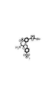 CC(C)(C)c1nnc(-c2ccc3c(c2)N(Cc2ccc(S(=O)(=O)C(F)(F)F)cc2)C(=O)[C@@H](N)CS3(=O)=O)o1